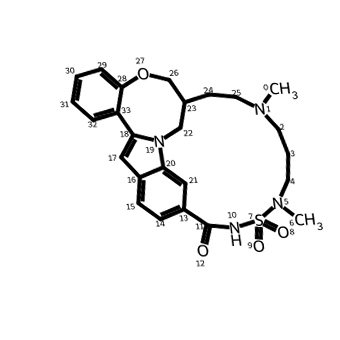 CN1CCCN(C)S(=O)(=O)NC(=O)c2ccc3cc4n(c3c2)CC(CC1)COc1ccccc1-4